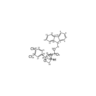 O=C(OCC1c2ccccc2-c2ccccc21)N1C[C@]2(c3ccc(Cl)c(Cl)c3)C[C@H]1CO2